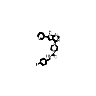 O=C(NCc1ccc(F)cc1)N1CCN(c2ncnc3[nH]c(-c4cccnc4)cc23)CC1